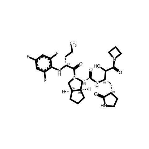 O=C1NCC[C@H]1C[C@H](NC(=O)[C@@H]1[C@H]2CCC[C@H]2CN1C(=O)[C@@H](CCC(F)(F)F)Nc1c(F)cc(F)cc1F)C(O)C(=O)N1CCC1